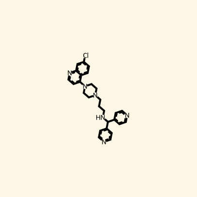 Clc1ccc2c(N3CCN(CCCNC(c4ccncc4)c4ccncc4)CC3)ccnc2c1